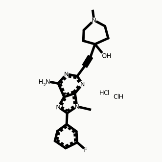 CN1CCC(O)(C#Cc2nc(N)c3nc(-c4cccc(F)c4)n(C)c3n2)CC1.Cl.Cl